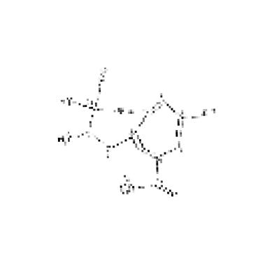 CC(Oc1ccc(F)cc1C(=O)O)C(F)(F)F